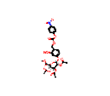 COC(=O)[C@H]1O[C@@H](Oc2ccc(COC(=O)Oc3ccc([N+](=O)[O-])cc3)c(O)c2)[C@H](OC(C)=O)[C@@H](OC(C)=O)[C@@H]1OC(C)=O